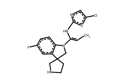 CC=C(Nc1ncc(Cl)s1)N1CC2(CCNC2)c2cc(F)ccc21